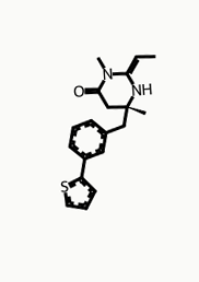 CC=C1N[C@](C)(Cc2cccc(-c3cccs3)c2)CC(=O)N1C